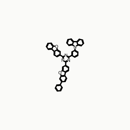 c1ccc(-c2ccc3c(c2)oc2cc(-c4nc(-c5cccc(-n6c7ccccc7c7ccccc76)c5)nc(-c5ccc6c(c5)oc5ccccc56)n4)ccc23)cc1